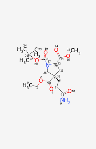 CCOC(=O)[C@@]1(CCC(N)=O)C[C@@H](C(=O)OC)N(C(=O)OC(C)(C)C)C1